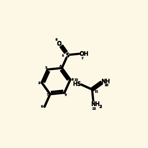 Cc1ccc(S(=O)O)cc1.N=C(N)S